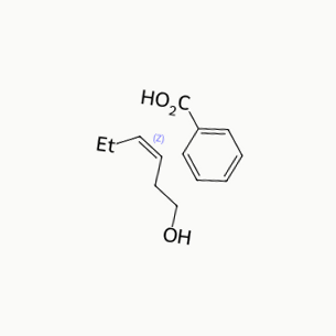 CC/C=C\CCO.O=C(O)c1ccccc1